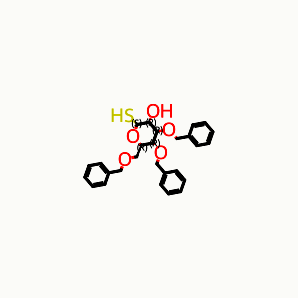 O[C@@H]1[C@@H](OCc2ccccc2)[C@H](OCc2ccccc2)[C@@H](COCc2ccccc2)O[C@H]1S